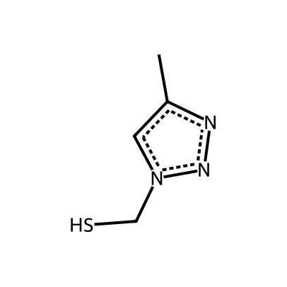 Cc1cn(CS)nn1